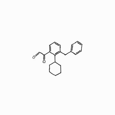 O=CC(=O)c1cccc(Cc2ccccc2)c1C1CCCCC1